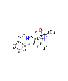 C=C[C@@H]1CC[C@@H](CN2CCc3ccccc3C2)[C@@](C)(C(=O)NC(C)(C)C)C1